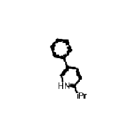 C/C=C(\C=C/C(=N)C(C)C)c1ccccc1